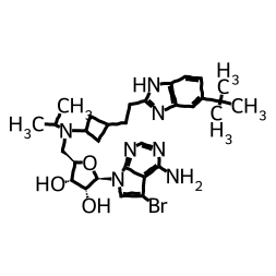 CC(C)N(C[C@H]1O[C@@H](n2cc(Br)c3c(N)ncnc32)[C@H](O)[C@@H]1O)C1CC(CCc2nc3cc(C(C)(C)C)ccc3[nH]2)C1